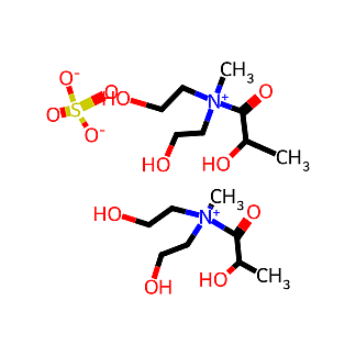 CC(O)C(=O)[N+](C)(CCO)CCO.CC(O)C(=O)[N+](C)(CCO)CCO.O=S(=O)([O-])[O-]